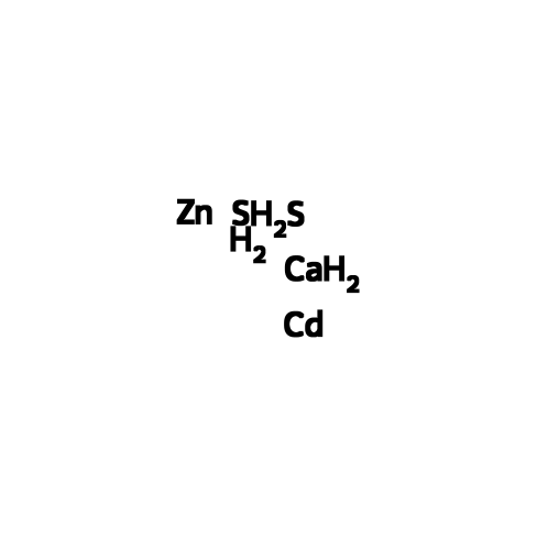 S.S.[CaH2].[Cd].[Zn]